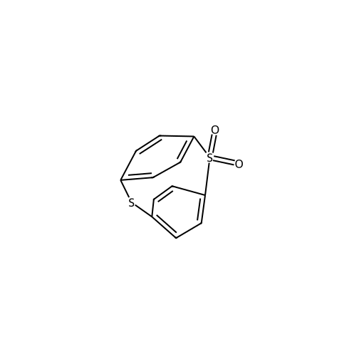 O=S1(=O)c2ccc(cc2)Sc2ccc1cc2